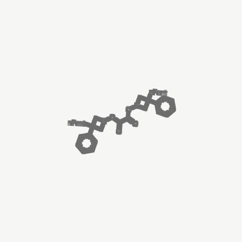 CCCCCC1(c2ccccc2)CN(OC(=O)C(=O)ON2CC(CCCCC)(c3ccccc3)C2)C1